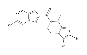 CC1c2cc(Br)c(Br)n2CCN1C(=O)c1cc2ccc(Cl)cn2n1